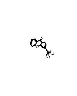 O=C(Cl)c1ccc2c(=S)c3ccccc3oc2c1